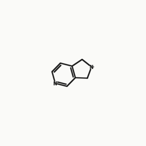 c1cc2c(cn1)C[N]C2